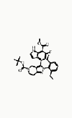 CCc1cccc(CC)c1-n1nc2c(c1-c1cc(F)c(C(=O)OC)c3[nH]ccc13)CN(C(=O)OC(C)(C)C)CC2